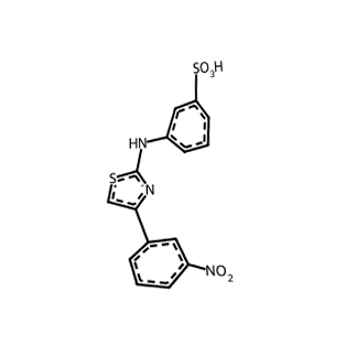 O=[N+]([O-])c1cccc(-c2csc(Nc3cccc(S(=O)(=O)O)c3)n2)c1